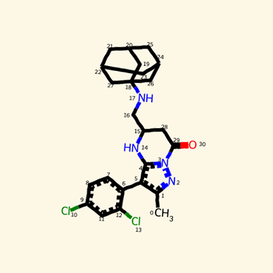 Cc1nn2c(c1-c1ccc(Cl)cc1Cl)NC(CNC13CC4CC(CC(C4)C1)C3)CC2=O